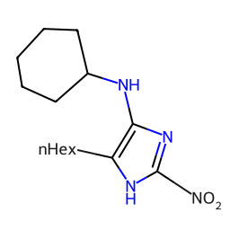 CCCCCCc1[nH]c([N+](=O)[O-])nc1NC1CCCCC1